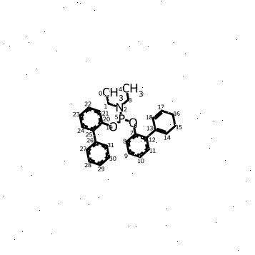 CCN(CC)P(Oc1ccccc1C1=CCCC=C1)Oc1ccccc1-c1ccccc1